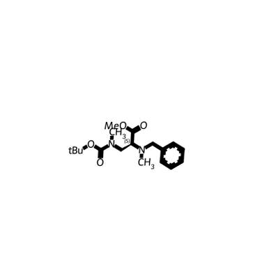 COC(=O)[C@H](CN(C)C(=O)OC(C)(C)C)N(C)Cc1ccccc1